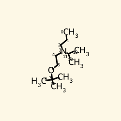 CCCN(CCOC(C)(C)C)C(C)C